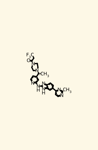 Cc1nccc(-c2ccc3nc(Nc4cc([C@@H](C)N5CCN(C(=O)CC(F)(F)F)CC5)ccn4)[nH]c3c2)n1